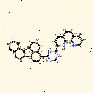 c1ccc2c3c(ccc2c1)-c1ccc(-c2ncnc(-c4ccc5ccc6cccnc6c5n4)n2)c2cccc-3c12